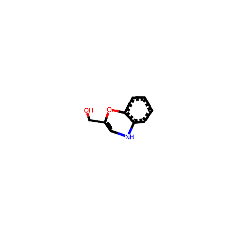 OCC1=CNc2ccccc2O1